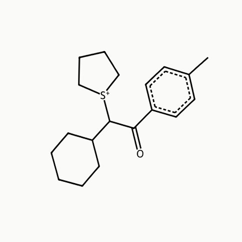 Cc1ccc(C(=O)C(C2CCCCC2)[S+]2CCCC2)cc1